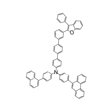 c1ccc(-c2c(-c3cccc(-c4ccc(-c5ccc(N(c6ccc(-c7cccc8ccccc78)cc6)c6ccc(-c7cc8ccccc8c8ccccc78)cc6)cc5)cc4)c3)oc3ccccc23)cc1